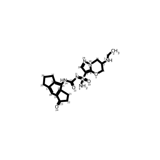 CCNC1COc2c(S(N)(=O)=NC(=O)Nc3c4c(cc5c3CCC5=O)CCC4)cnn2C1